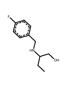 CCC(CO)NCc1ccc(F)cc1